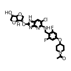 CC(=O)N1CCC(Oc2cc(F)c(CNc3nc4nc(O[C@@H]5COC6[C@H](O)CO[C@@H]65)[nH]c4cc3Cl)c(F)c2)CC1